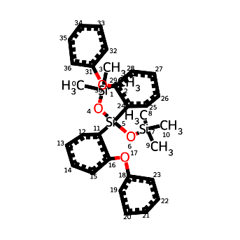 C[Si](C)(C)O[Si](O[Si](C)(C)C)(c1ccccc1Oc1ccccc1)c1ccccc1Oc1ccccc1